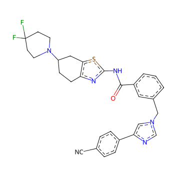 N#Cc1ccc(-c2cn(Cc3cccc(C(=O)Nc4nc5c(s4)CC(N4CCC(F)(F)CC4)CC5)c3)cn2)cc1